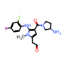 Cn1c(CC=O)cc(C(=O)N2CC[C@@H](N)C2)c1Nc1ccc(I)cc1F